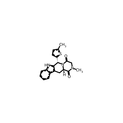 Cc1ccc([C@H]2c3[nH]c4ccccc4c3C[C@H]3C(=O)N(C)CC(=O)N23)s1